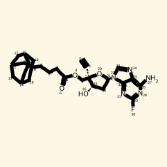 C#C[C@]1(COC(=O)CCCC23CC4CC(CC(C4)C2)C3)O[C@@H](n2cnc3c(N)nc(F)nc32)C[C@@H]1O